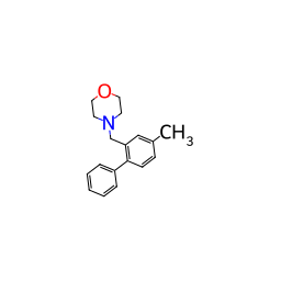 Cc1ccc(-c2ccccc2)c(CN2CCOCC2)c1